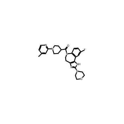 Cc1ccnc(N2CCC(C(=O)N3CCc4nc(N5CCOCC5)[nH]c4-c4cc(F)ccc43)CC2)c1